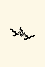 CCCCC(CC)CNOP(=O)(CCC)OCC(CC)CCCC